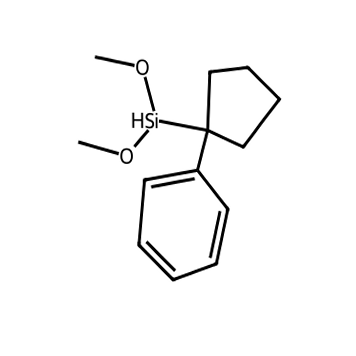 CO[SiH](OC)C1(c2ccccc2)CCCC1